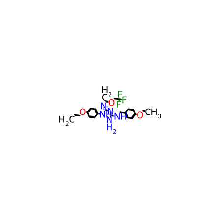 C=CCOc1ccc(NC(=N/C(=C)OCC(F)(F)F)/N=C(\N)NCc2ccc(OCC)cc2)cc1